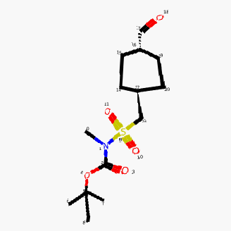 CN(C(=O)OC(C)(C)C)S(=O)(=O)C[C@H]1CC[C@H](C=O)CC1